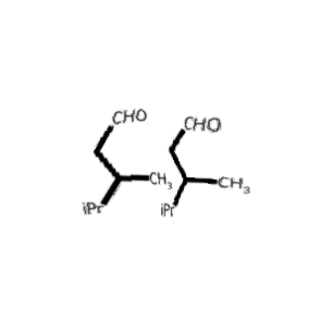 CC(C)C(C)CC=O.CC(C)C(C)CC=O